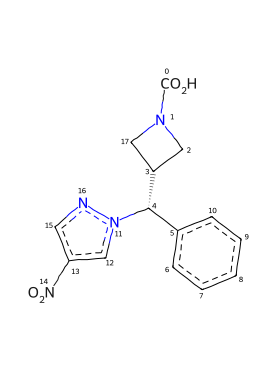 O=C(O)N1CC([C@H](c2ccccc2)n2cc([N+](=O)[O-])cn2)C1